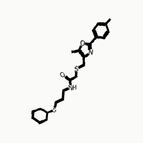 Cc1ccc(-c2nc(CSCC(=O)NCCCSC3CCCCC3)c(C)o2)cc1